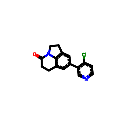 O=C1CCc2cc(-c3cnccc3Cl)cc3c2N1CC3